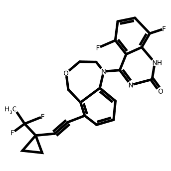 CC(F)(F)C1(C#Cc2cccc3c2COCCN3c2nc(=O)[nH]c3c(F)ccc(F)c23)CC1